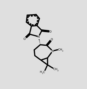 CN1C(=O)[C@@H](N2C(=O)c3ccccc3C2=O)CCC2C1C2(C)C